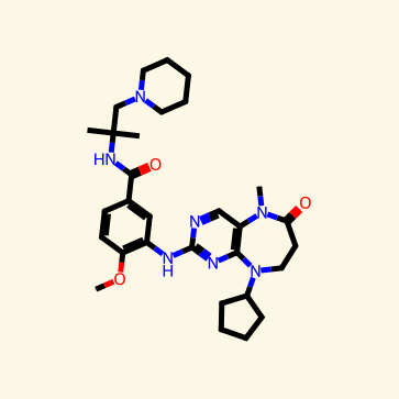 COc1ccc(C(=O)NC(C)(C)CN2CCCCC2)cc1Nc1ncc2c(n1)N(C1CCCC1)CCC(=O)N2C